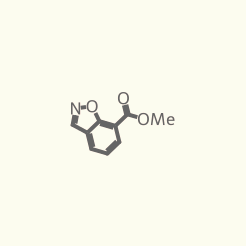 COC(=O)c1cccc2cnoc12